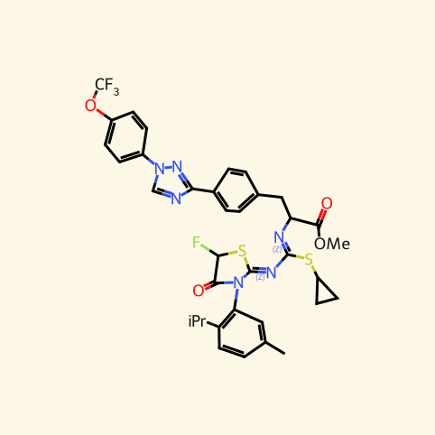 COC(=O)C(Cc1ccc(-c2ncn(-c3ccc(OC(F)(F)F)cc3)n2)cc1)/N=C(/N=C1\SC(F)C(=O)N1c1cc(C)ccc1C(C)C)SC1CC1